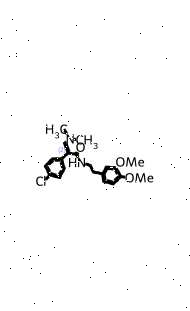 COc1ccc(CCNC(=O)/C(=C\N(C)C)c2ccc(Cl)cc2)cc1OC